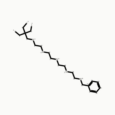 ICC(CI)(CI)COCCOCCOCCOCCOCc1ccccc1